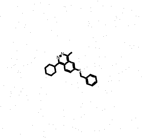 Cc1nnc(C2CCCCC2)c2ccc(SCc3ccccc3)cc12